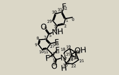 Cc1cc(NC(=O)c2cccc(C(F)(F)C(=O)N3CC4CCC[C@@H]3C[C@H]4O)c2F)ccc1F